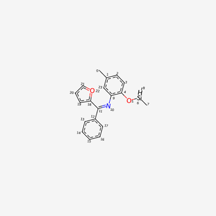 Cc1ccc(O[SiH](C)C)c(N=C(c2ccccc2)c2ccco2)c1